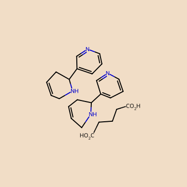 C1=CCC(c2cccnc2)NC1.C1=CCC(c2cccnc2)NC1.O=C(O)CCCC(=O)O